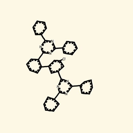 Clc1cc(-c2nc(-c3ccccc3)nc(-c3ccccc3)n2)cc(-c2ccccc2-c2nc(-c3ccccc3)nc(-c3ccccc3)n2)c1